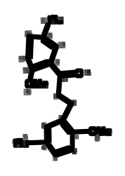 COc1ccc(C(C)(C)C)cc1CCC(=O)c1cc(C(C)(C)C)ccc1OC